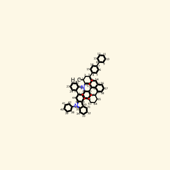 CC1CC(c2ccc(-c3ccccc3)cc2)=CC=C1N(c1ccccc1-c1ccc2c3ccccc3n(-c3ccccc3)c2c1)c1ccccc1-c1cccc2cccc(C3CCCCC3)c12